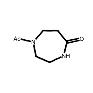 CC(=O)N1CCNC(=O)CC1